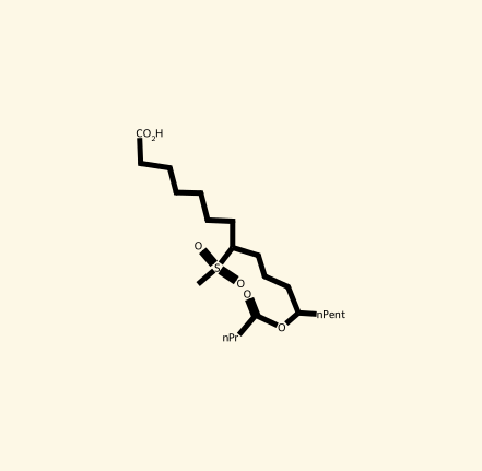 CCCCCC(CCCC(CCCCCCC(=O)O)S(C)(=O)=O)OC(=O)CCC